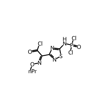 CCCON=C(C(=O)Cl)c1nsc(NP(=O)(Cl)Cl)n1